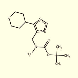 CN(Cc1ncsc1C1CCOCC1)C(=O)OC(C)(C)C